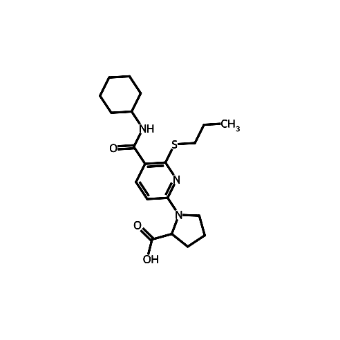 CCCSc1nc(N2CCCC2C(=O)O)ccc1C(=O)NC1CCCCC1